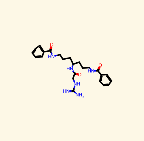 N=C(N)NCC(=O)NC(CCCNC(=O)c1ccccc1)CCCNC(=O)c1ccccc1